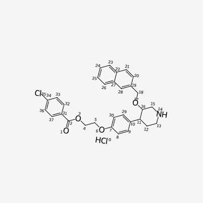 Cl.O=C(OCCOc1ccc(C2CCNCC2OCc2ccc3ccccc3c2)cc1)c1ccc(Cl)cc1